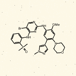 COc1cc(N2CCOCC2)c(-c2cnn(C)c2)cc1Nc1ncc(Br)c(Nc2ccccc2P(C)(C)=O)n1